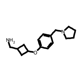 NCC1CC(Oc2ccc(CN3CCCC3)cc2)C1